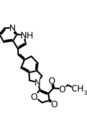 CCOC(=O)C1=C(N2CC3=CCC(=Cc4c[nH]c5ncccc45)C=C3C2)OCC1=O